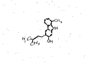 CC(C)=CCc1cc2c(cc1O)[nH]c1c(C)cccc12